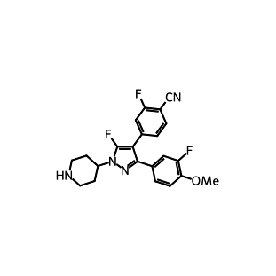 COc1ccc(-c2nn(C3CCNCC3)c(F)c2-c2ccc(C#N)c(F)c2)cc1F